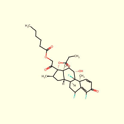 CCCCCC(=O)OCC(=O)[C@]1(OC(=O)CC)[C@H](C)C[C@H]2[C@@H]3C[C@H](F)C4=C(F)C(=O)C=C[C@]4(C)[C@@]3(F)[C@@H](O)C[C@@]21C